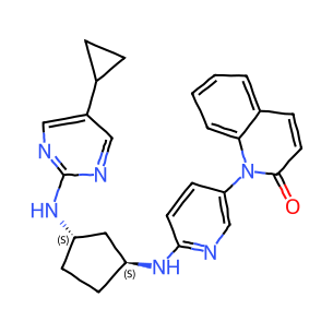 O=c1ccc2ccccc2n1-c1ccc(N[C@H]2CC[C@H](Nc3ncc(C4CC4)cn3)C2)nc1